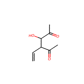 C=CC(C(C)=O)C(O)C(C)=O